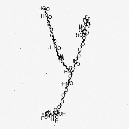 O=C(O)CCNC(=O)CCOCCOCCOCCOCCNC(=O)CCCc1cn(CCCCCC(=O)NC(COCCC(=O)NCCOCCOCCOCCOC[C@H]2OC[C@H](Nc3nccc(C(F)(F)F)n3)[C@@H](O)[C@H]2O)COCCC(=O)NCCOCCOCCOCCOC[C@H]2OC[C@H](Nc3nccc(C(F)(F)F)n3)[C@@H](O)[C@H]2O)nn1